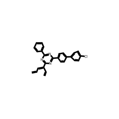 C=C/C=C(\C=C)c1nc(-c2ccccc2)nc(-c2ccc(-c3ccc(Cl)cc3)cc2)n1